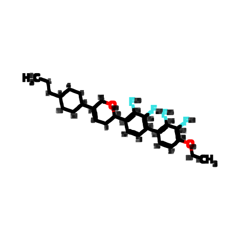 CCCC1CCC(C2=CCC(c3ccc(-c4ccc(OCC)c(F)c4F)c(F)c3F)OC2)CC1